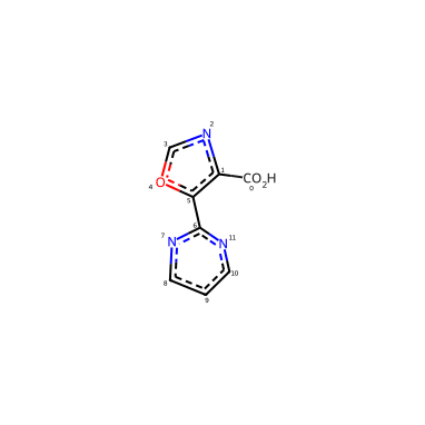 O=C(O)c1ncoc1-c1ncccn1